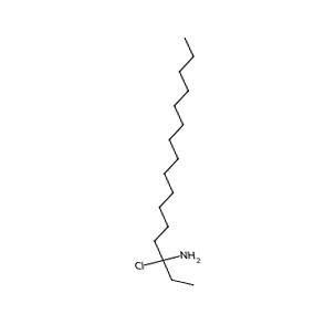 CCCCCCCCCCCCCC(N)(Cl)CC